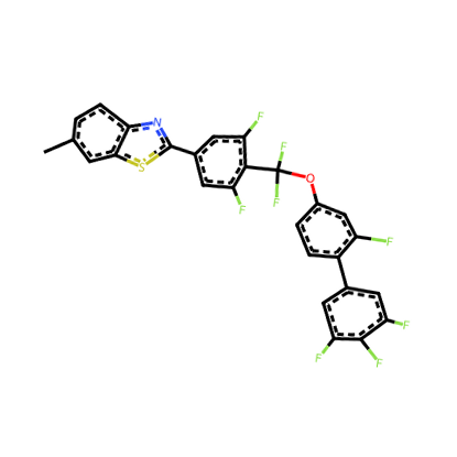 Cc1ccc2nc(-c3cc(F)c(C(F)(F)Oc4ccc(-c5cc(F)c(F)c(F)c5)c(F)c4)c(F)c3)sc2c1